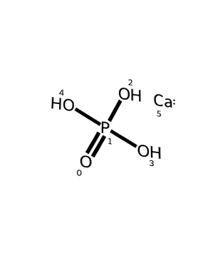 O=P(O)(O)O.[Ca]